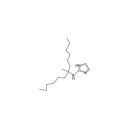 CCCCCCC(C)(Bc1ncc[nH]1)CCCCCC